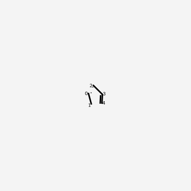 [CH2]C.[CH2]C=C